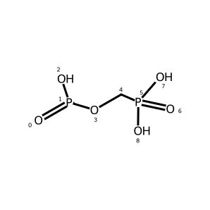 O=[P](O)OCP(=O)(O)O